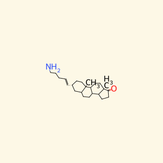 C[C@]12CC[C@@H](/C=C/CCCN)CC1CCC1C2CC[C@]2(C)C(=O)CCC12